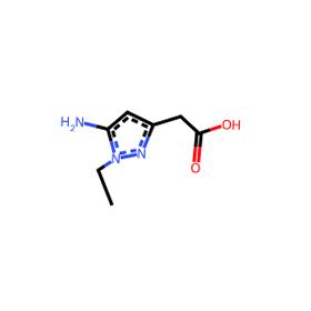 CCn1nc(CC(=O)O)cc1N